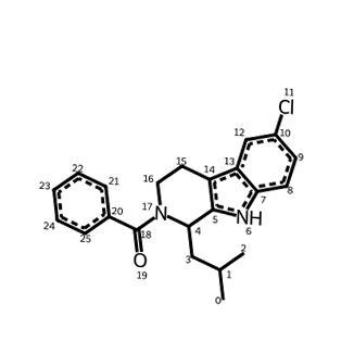 CC(C)CC1c2[nH]c3ccc(Cl)cc3c2CCN1C(=O)c1ccccc1